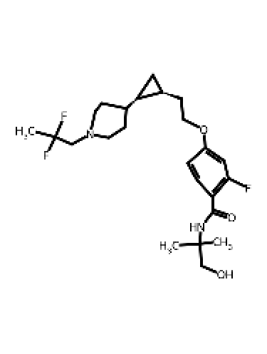 CC(F)(F)CN1CCC([C@H]2C[C@H]2CCOc2ccc(C(=O)NC(C)(C)CO)c(F)c2)CC1